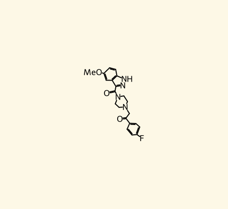 COc1ccc2[nH]nc(C(=O)N3CCN(CC(=O)c4ccc(F)cc4)CC3)c2c1